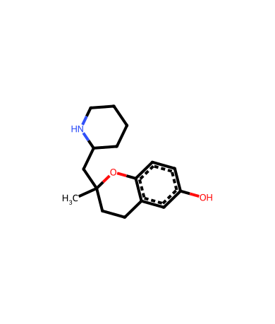 CC1(CC2CCCCN2)CCc2cc(O)ccc2O1